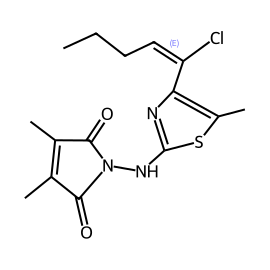 CCC/C=C(/Cl)c1nc(NN2C(=O)C(C)=C(C)C2=O)sc1C